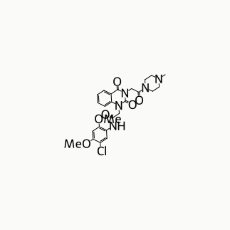 COc1cc(OC)c(NC(=O)Cn2c(=O)n(CC(=O)N3CCN(C)CC3)c(=O)c3ccccc32)cc1Cl